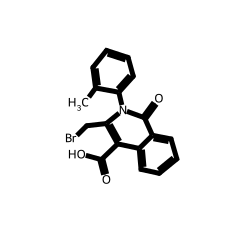 Cc1ccccc1-n1c(CBr)c(C(=O)O)c2ccccc2c1=O